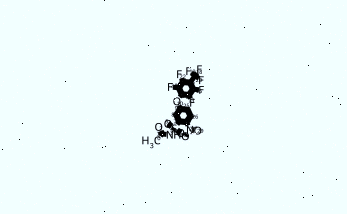 CC(=O)NS(=O)(=O)c1cc(Oc2c(F)c(F)c(C(F)(F)F)c(F)c2F)ccc1[N+](=O)[O-]